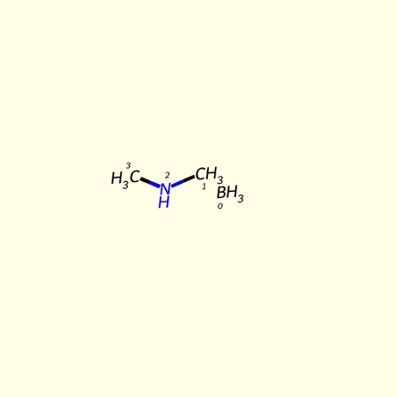 B.CNC